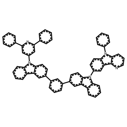 c1ccc(-c2cc(-n3c4ccccc4c4cc(-c5cccc(-c6ccc7c(c6)c6ccccc6n7-c6ccc7c(c6)c6ncccc6n7-c6ccccc6)c5)ccc43)cc(-c3ccccc3)n2)cc1